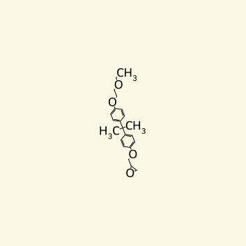 CCOCCOc1ccc(C(C)(C)c2ccc(OCC3CO3)cc2)cc1